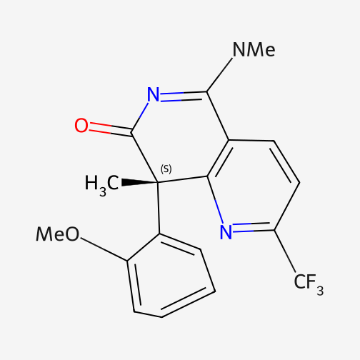 CNC1=NC(=O)[C@@](C)(c2ccccc2OC)c2nc(C(F)(F)F)ccc21